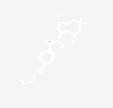 CC1(C)CC(=O)c2c(C(=O)Nc3ccc(OCCO)cc3)c[nH]c2C1